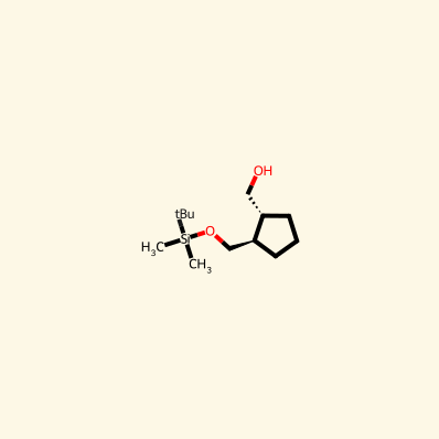 CC(C)(C)[Si](C)(C)OC[C@@H]1CCC[C@H]1CO